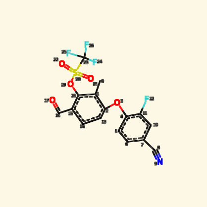 Cc1c(Oc2ccc(C#N)cc2F)ccc(C=O)c1OS(=O)(=O)C(F)(F)F